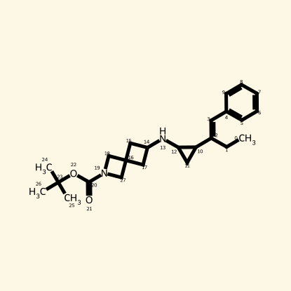 CCC(=Cc1ccccc1)C1CC1NC1CC2(C1)CN(C(=O)OC(C)(C)C)C2